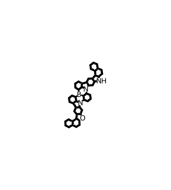 c1cc2c3c(c1)-n1c4cc5oc6ccc7ccccc7c6c5cc4c4cccc(c41)B3c1cccc3c4cc5c(cc4n-2c13)[nH]c1ccc2ccccc2c15